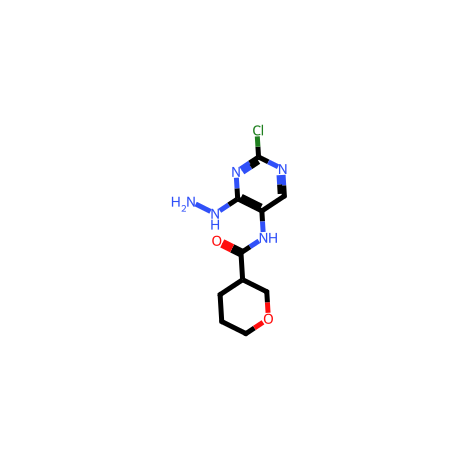 NNc1nc(Cl)ncc1NC(=O)C1CCCOC1